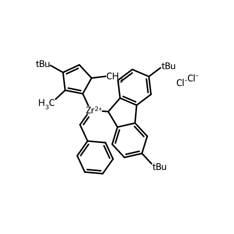 CC1=[C](/[Zr+2](=[CH]/c2ccccc2)[CH]2c3ccc(C(C)(C)C)cc3-c3cc(C(C)(C)C)ccc32)C(C)C=C1C(C)(C)C.[Cl-].[Cl-]